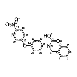 O=C(O)N(Cc1ccccc1)c1ccc(Oc2ccc([N+](=O)[O-])nc2)cc1